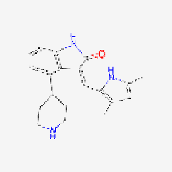 Cc1cc(C)c(/C=C2\C(=O)Nc3cccc(C4CCNCC4)c32)[nH]1